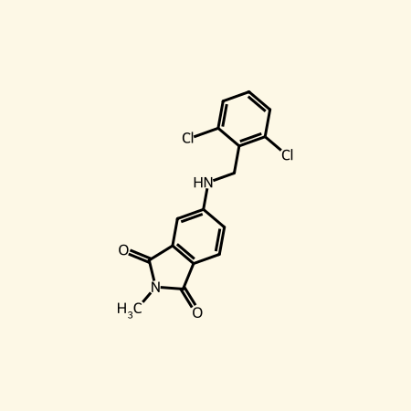 CN1C(=O)c2ccc(NCc3c(Cl)cccc3Cl)cc2C1=O